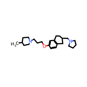 CC1CCN(CCCOc2ccc3c(c2)CCC(CN2CCCC2)C3)CC1